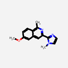 COc1ccc2c(C)nc(-c3nccn3C)cc2c1